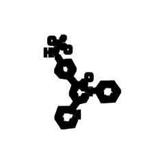 CS(=O)(=O)Nc1ccc(-c2cc(-c3ccccn3)cn(-c3ccccc3)c2=O)cc1